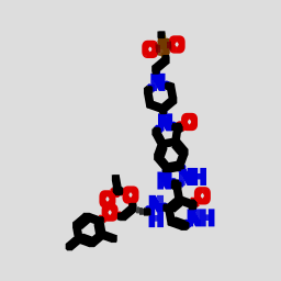 CC(=O)O[C@H](CNc1cc[nH]c(=O)c1-c1nc2cc3c(cc2[nH]1)C(=O)N(C1CCN(CCS(C)(=O)=O)CC1)C3)COc1ccc(C)cc1C